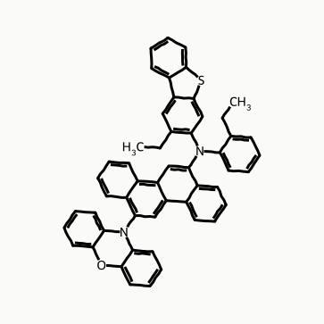 CCc1ccccc1N(c1cc2sc3ccccc3c2cc1CC)c1cc2c3ccccc3c(N3c4ccccc4Oc4ccccc43)cc2c2ccccc12